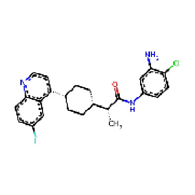 C[C@@H](C(=O)Nc1ccc(Cl)c(N)c1)[C@H]1CC[C@@H](c2ccnc3ccc(F)cc32)CC1